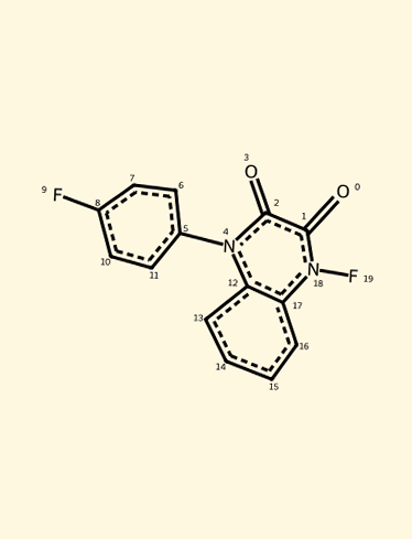 O=c1c(=O)n(-c2ccc(F)cc2)c2ccccc2n1F